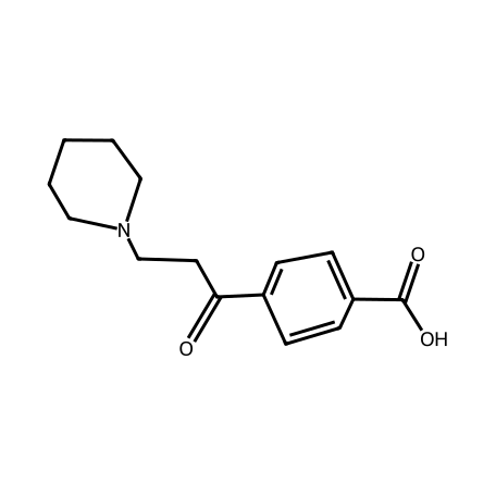 O=C(O)c1ccc(C(=O)CCN2CCCCC2)cc1